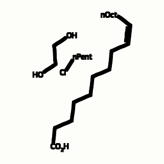 CCCCCCCC/C=C\CCCCCCCC(=O)O.CCCCCCl.OCCO